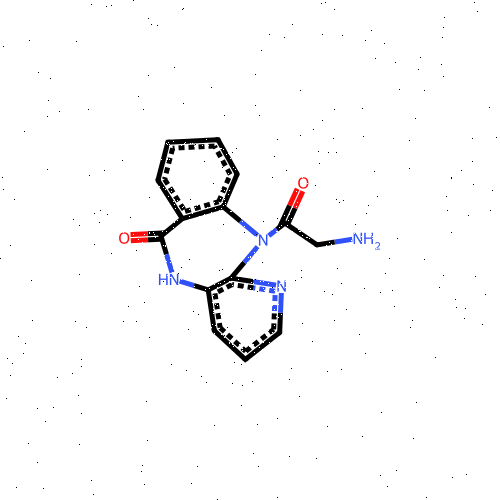 NCC(=O)N1c2ccccc2C(=O)Nc2cccnc21